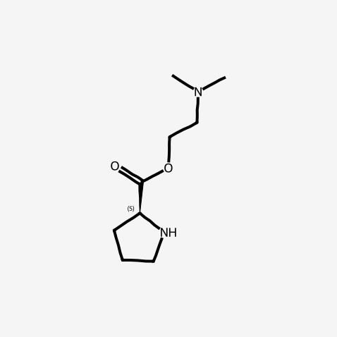 CN(C)CCOC(=O)[C@@H]1CCCN1